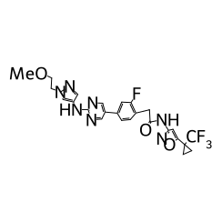 COCCn1cc(Nc2ncc(-c3ccc(CC(=O)Nc4cc(C5(C(F)(F)F)CC5)on4)c(F)c3)cn2)cn1